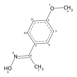 COc1ccc(/C(C)=N/O)cc1